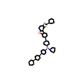 c1ccc(-c2ccc(-c3ccc(N(c4ccccc4)c4ccc(-c5ccc6c(c5)oc5ccc7nc(-c8ccccc8)sc7c56)cc4)cc3)cc2)cc1